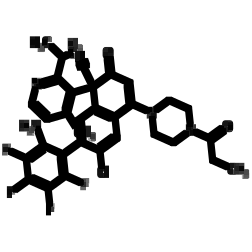 CCC(=O)N1CCN(C2=CC(=O)C(C#N)(c3c(C)ccnc3C(C)C)c3cc(-c4c(N)c(F)c(F)c(F)c4F)c(Cl)cc32)CC1